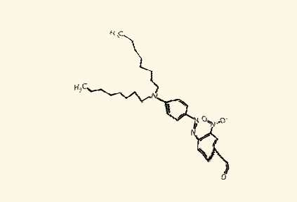 CCCCCCCCN(CCCCCCCC)c1ccc(N=Nc2ccc(C=O)cc2[N+](=O)[O-])cc1